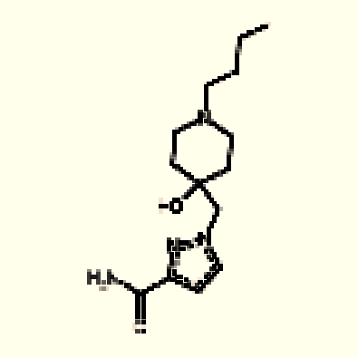 CCCCN1CCC(O)(Cn2ccc(C(N)=O)n2)CC1